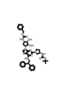 CC(C)(C)OC(=O)N[C@@H]1CCN(c2nc(NCC(c3ccccc3)c3ccccc3)c3ncn([C@@H]4C[C@H](NC(=O)OCc5ccccc5)[C@@H](O)[C@H]4O)c3n2)C1